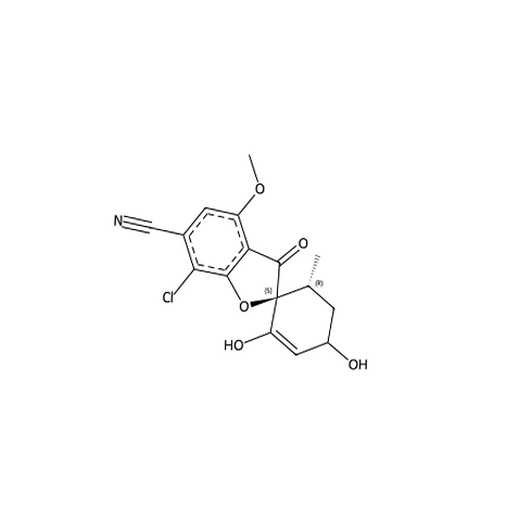 COc1cc(C#N)c(Cl)c2c1C(=O)[C@@]1(O2)C(O)=CC(O)C[C@H]1C